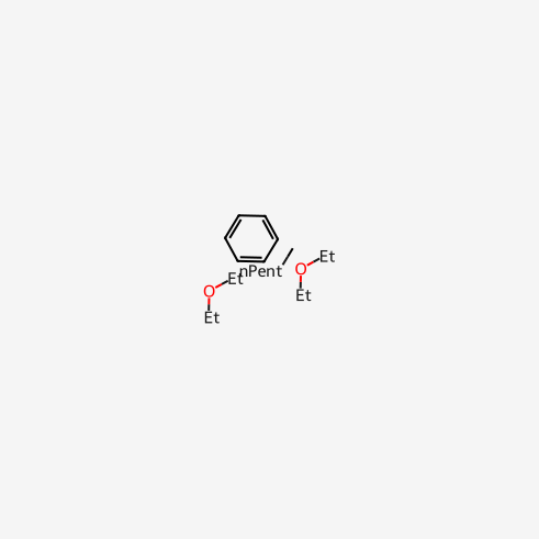 CCCCCC.CCOCC.CCOCC.c1ccccc1